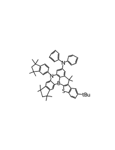 CC(C)(C)c1ccc2sc3c(c2c1)C(C)(C)c1cc(N(c2ccccc2)c2ccccc2)cc2c1B3c1cc3c(cc1N2c1ccc2c(c1)C(C)(C)CC2(C)C)C(C)(C)CC3(C)C